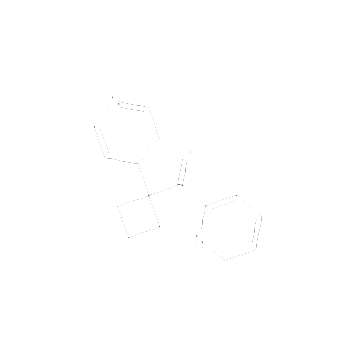 O=C(c1ccccn1)C1(c2ccncc2)CCC1